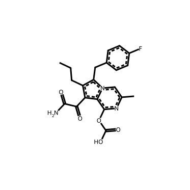 CCCc1c(C(=O)C(N)=O)c2c(OC(=O)O)nc(C)cn2c1Cc1ccc(F)cc1